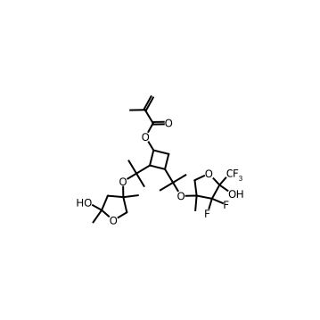 C=C(C)C(=O)OC1CC(C(C)(C)OC2(C)COC(O)(C(F)(F)F)C2(F)F)C1C(C)(C)OC1(C)COC(C)(O)C1